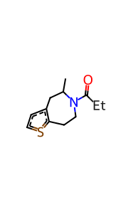 CCC(=O)N1CCc2sccc2CC1C